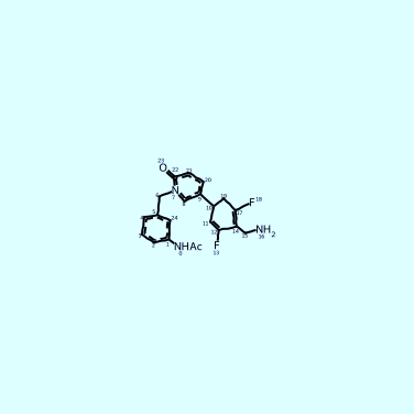 CC(=O)Nc1cccc(Cn2cc(C3C=C(F)C(CN)=C(F)C3)ccc2=O)c1